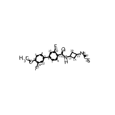 COc1ccc(-c2ccc(C(=O)NC3CC(N=C=S)C3)c(F)c2)cc1F